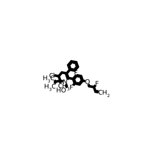 C=CC(F)COc1cc(F)c(C2=C(c3ccccc3)CC(Cl)C(C)(C(C)C)N2CO)c(F)c1